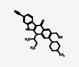 CCC(C)n1c2cc(N3CCN(C)CC3)c(CO)cc2c(=O)c2c3ccc(C#N)cc3[nH]c21